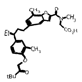 CCC(CCc1cc(C)c2oc(C(=O)N(C)CC(=O)O)cc2c1)c1ccc(OCC(=O)C(C)(C)C)c(C)c1